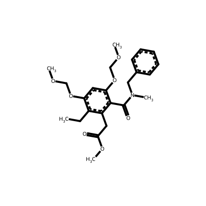 CCc1c(OCOC)cc(OCOC)c(C(=O)N(C)Cc2ccccc2)c1CC(=O)OC